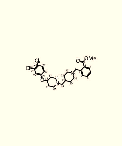 COC(=O)c1ccccc1CN1CCC(CN2CCC(Oc3ccc(Cl)c(Cl)c3)CC2)CC1